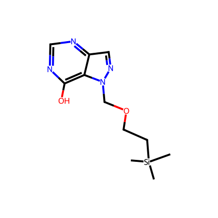 C[Si](C)(C)CCOCn1ncc2ncnc(O)c21